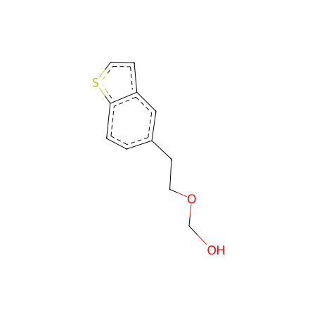 OCOCCc1ccc2sccc2c1